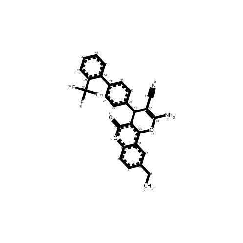 CCc1ccc2oc(=O)c3c(c2c1)OC(N)=C(C#N)C3c1ccc(-c2ccccc2C(F)(F)F)cc1